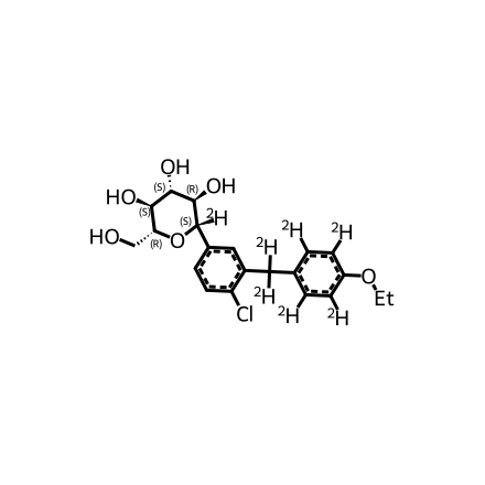 [2H]c1c([2H])c(C([2H])([2H])c2cc([C@]3([2H])O[C@H](CO)[C@@H](O)[C@H](O)[C@H]3O)ccc2Cl)c([2H])c([2H])c1OCC